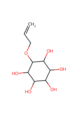 C=CCOC1C(O)C(O)C(O)C(O)C1O